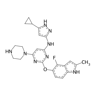 Cc1cc2c(F)c(Oc3nc(Nc4cc(C5CC5)[nH]n4)cc(N4CCNCC4)n3)ccc2[nH]1